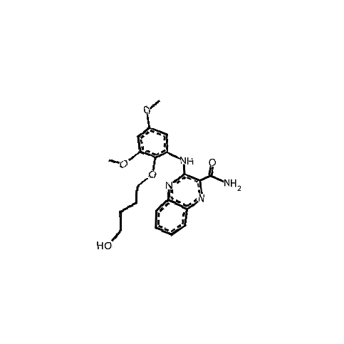 COc1cc(Nc2nc3ccccc3nc2C(N)=O)c(OCCCCO)c(OC)c1